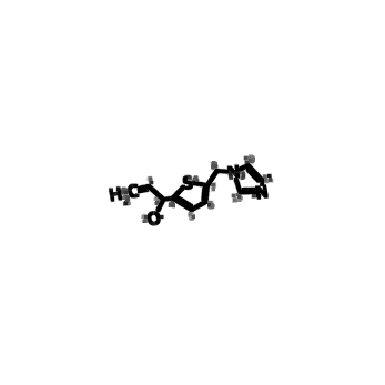 C=CC([O])c1ccc(Cn2ccnc2)s1